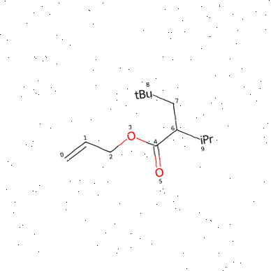 C=CCOC(=O)C(CC(C)(C)C)C(C)C